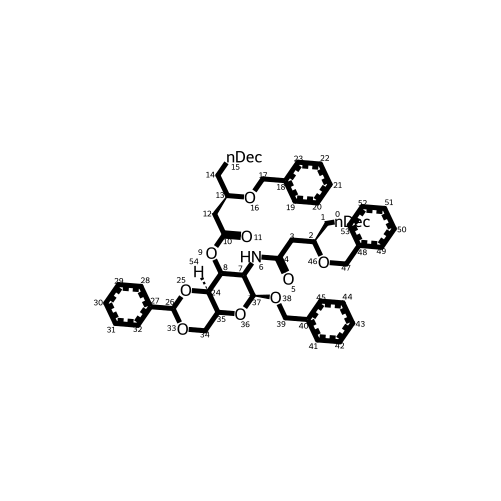 CCCCCCCCCCC[C@H](CC(=O)NC1C(OC(=O)C[C@@H](CCCCCCCCCCC)OCc2ccccc2)[C@@H]2OC(c3ccccc3)OCC2O[C@@H]1OCc1ccccc1)OCc1ccccc1